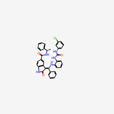 C[C@@H](NC(=O)c1ccc2c(c1)C(=C(Nc1ccccc1NC(=O)Nc1cccc(Cl)c1)c1ccccc1)C(=O)N2)c1ccccc1